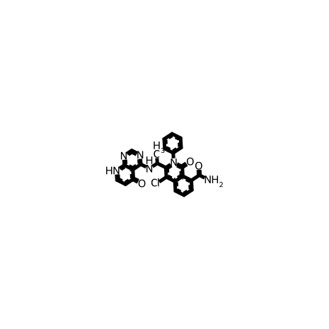 CC(Nc1ncnc2[nH]ccc(=O)c12)c1c(Cl)c2cccc(C(N)=O)c2c(=O)n1-c1ccccc1